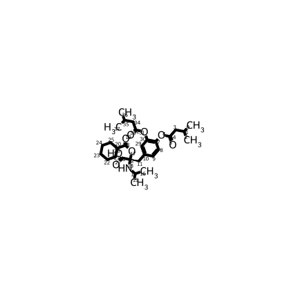 CC(C)CC(=O)Oc1ccc(C[C@](NC(C)C)(OC(=O)C2CCCCC2)C(=O)O)cc1OC(=O)CC(C)C